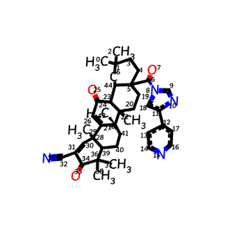 CC1(C)CCC2(C(=O)n3cnc(-c4ccncc4)c3)CCC3(C)C(C(=O)C=C4C5(C)C=C(C#N)C(=O)C(C)(C)C5CC[C@]43C)C2C1